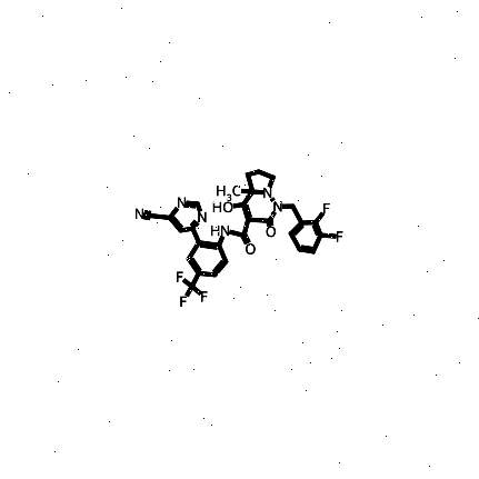 CC12CCCN1N(Cc1cccc(F)c1F)C(=O)C(C(=O)Nc1ccc(C(F)(F)F)cc1-c1cc(C#N)ncn1)=C2O